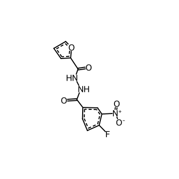 O=C(NNC(=O)c1ccco1)c1ccc(F)c([N+](=O)[O-])c1